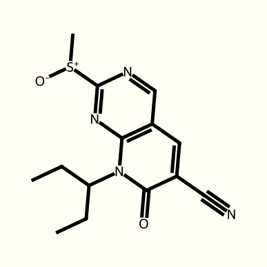 CCC(CC)n1c(=O)c(C#N)cc2cnc([S+](C)[O-])nc21